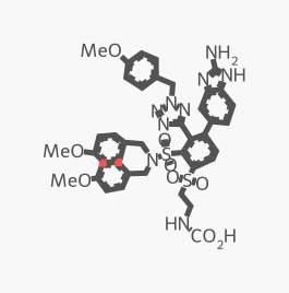 COc1ccc(CN(Cc2ccc(OC)cc2)S(=O)(=O)c2c(S(=O)(=O)CCNC(=O)O)ccc(-c3ccc4[nH]c(N)nc4c3)c2-c2nnn(Cc3ccc(OC)cc3)n2)cc1